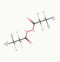 O=C(OOC(=O)C(F)(F)C(F)(Cl)C(F)(F)F)C(F)(F)C(F)(Cl)C(F)(F)F